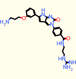 N=C(N)NCCCNC(=O)c1ccc(-n2cc3cc(-c4cccc(OCCCN)c4)[nH]c3nc2=O)cc1